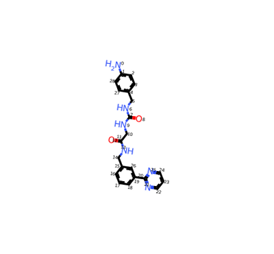 Nc1ccc(CNC(=O)NCC(=O)NCc2cccc(-c3ncccn3)c2)cc1